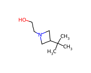 CC(C)(C)C1CN(CCO)C1